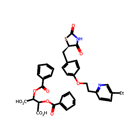 CCc1ccc(CCOc2ccc(C[C@H]3SC(=O)NC3=O)cc2)nc1.O=C(OC(C(=O)O)C(OC(=O)c1ccccc1)C(=O)O)c1ccccc1